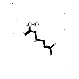 C=C(C=O)CCCC=C(C)C